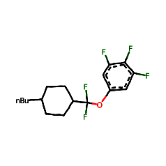 CCCCC1CCC(C(F)(F)Oc2cc(F)c(F)c(F)c2)CC1